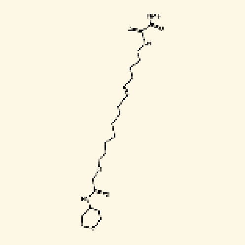 CNC(=O)C(=O)NCCCCC=CCCCCCCCOCC(=O)NC1CCOCC1